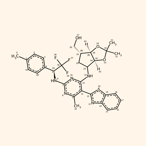 Cc1ccc([C@H](Nc2nc(C)c(-c3nc4ccccc4s3)c(NC3C[C@H](CO)[C@H]4OC(C)(C)O[C@@H]34)n2)C(F)(F)F)cc1